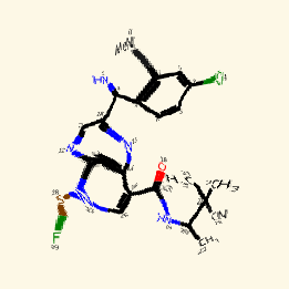 CNc1cc(Cl)ccc1C(=N)c1cnc2c(n1)c(C(=O)NC(C)C(C)(C)C#N)cn2SF